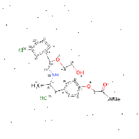 CNC(=O)COc1ccc(CC(C)NCC(OCCO)c2cccc(Cl)c2)cc1.Cl